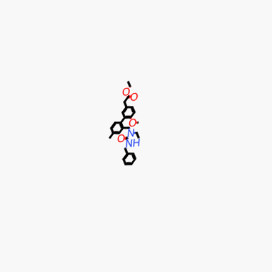 CCOC(=O)Cc1ccc(OC)c(-c2ccc(C)cc2CN(CC)C(=O)NCc2ccccc2)c1